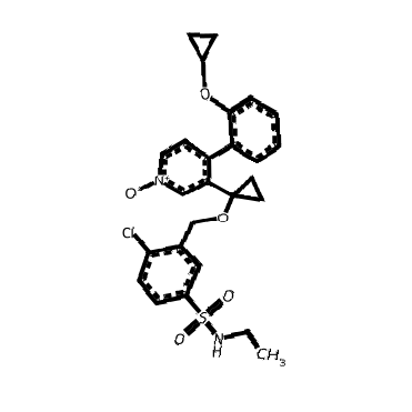 CCNS(=O)(=O)c1ccc(Cl)c(COC2(c3c[n+]([O-])ccc3-c3ccccc3OC3CC3)CC2)c1